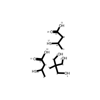 CC(CO)(CO)CO.CC(S)CC(=O)O.CC(S)CC(=O)O